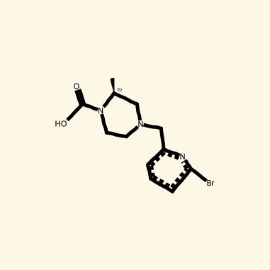 C[C@H]1CN(Cc2cccc(Br)n2)CCN1C(=O)O